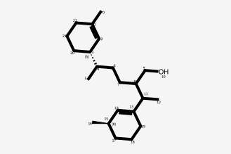 CC1=C[C@H](C(C)CCC(CO)C(C)C2=C[C@H](C)CCC2)CCC1